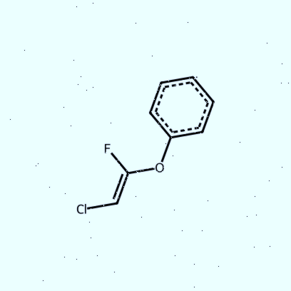 FC(=CCl)Oc1cc[c]cc1